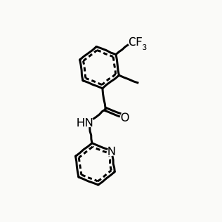 Cc1c(C(=O)Nc2ccccn2)cccc1C(F)(F)F